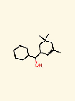 CC1=CC(C(O)C2CCCCC2)CC(C)(C)C1